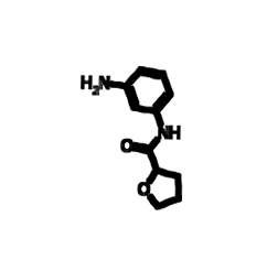 Nc1cccc(NC(=O)C2CCCO2)c1